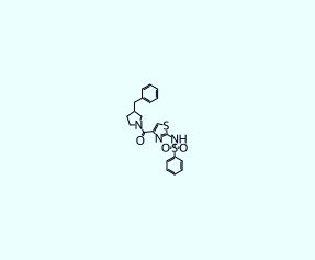 O=C(c1csc(NS(=O)(=O)c2ccccc2)n1)N1CCC(Cc2ccccc2)C1